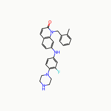 Cc1ccccc1Cn1c(=O)ccc2ccc(Nc3ccc(N4CCNCC4)c(F)c3)cc21